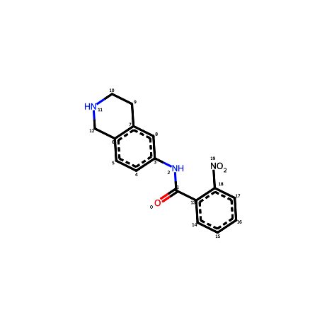 O=C(Nc1ccc2c(c1)CCNC2)c1ccccc1[N+](=O)[O-]